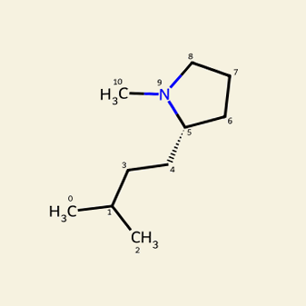 CC(C)CC[C@H]1CCCN1C